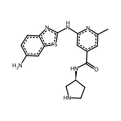 Cc1cc(C(=O)N[C@H]2CCNC2)cc(Nc2nc3ccc(N)cc3s2)n1